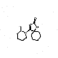 CC1CCCCN1C1=CC(=O)OC12CCCCC2